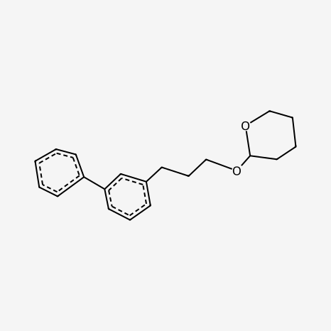 c1ccc(-c2cccc(CCCOC3CCCCO3)c2)cc1